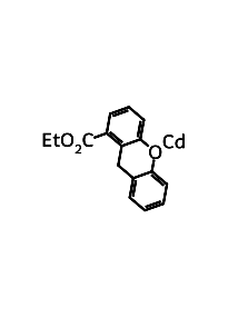 CCOC(=O)c1cccc2c1Cc1ccccc1O2.[Cd]